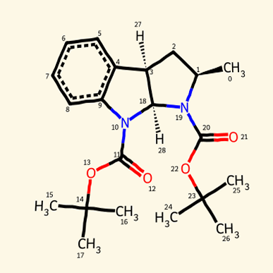 C[C@@H]1C[C@@H]2c3ccccc3N(C(=O)OC(C)(C)C)[C@@H]2N1C(=O)OC(C)(C)C